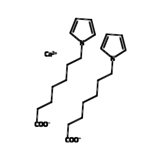 O=C([O-])CCCCCCn1cccc1.O=C([O-])CCCCCCn1cccc1.[Ca+2]